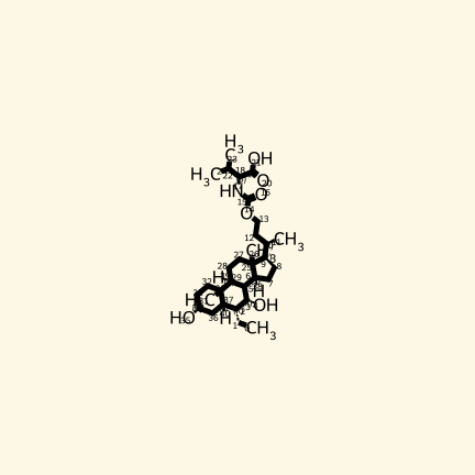 CC[C@H]1[C@@H](O)C2[C@@H]3CC[C@H]([C@H](C)CCOC(=O)N[C@H](C(=O)O)C(C)C)C3(C)CC[C@@H]2C2(C)CC[C@@H](O)C[C@@H]12